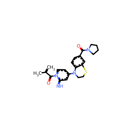 C=C(C)C(=O)n1ccc(N2CCSc3cc(C(=O)N4CCCC4)ccc32)cc1=N